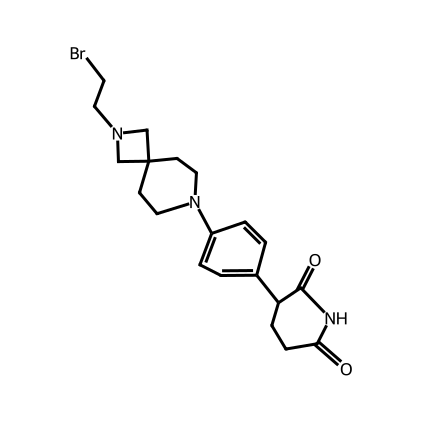 O=C1CCC(c2ccc(N3CCC4(CC3)CN(CCBr)C4)cc2)C(=O)N1